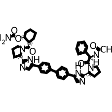 CC(=O)N[C@@H](C(=O)N1CCC[C@H]1c1ncc(-c2ccc(-c3ccc(-c4cnc([C@@H]5CCCN5C(=O)[C@H]5CCCC[C@H]5OC(N)=O)[nH]4)cc3)cc2)[nH]1)c1ccccc1